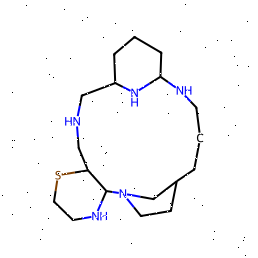 C1CNC2CCCC(CNCC3SCCNC3N3CCC(C1)C3)N2